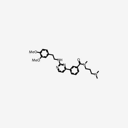 COc1ccc(CCNc2nccc(-c3cccc(C(=O)N(C)CCCN(C)C)c3)n2)cc1OC